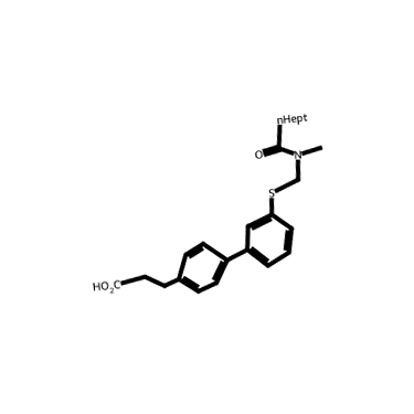 CCCCCCCC(=O)N(C)CSc1cccc(-c2ccc(CCC(=O)O)cc2)c1